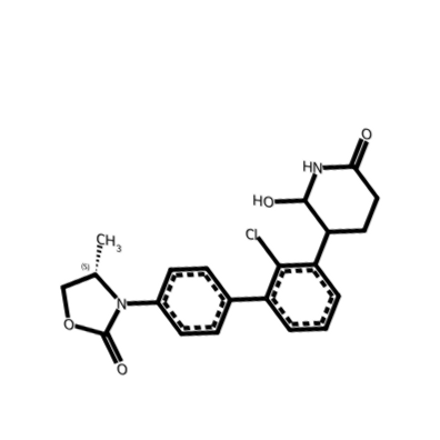 C[C@H]1COC(=O)N1c1ccc(-c2cccc(C3CCC(=O)NC3O)c2Cl)cc1